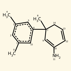 Cc1cc(C)cc(C2(C)C=C(N)C=CC2)c1